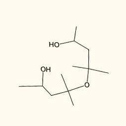 CC(O)CC(C)(C)OC(C)(C)CC(C)O